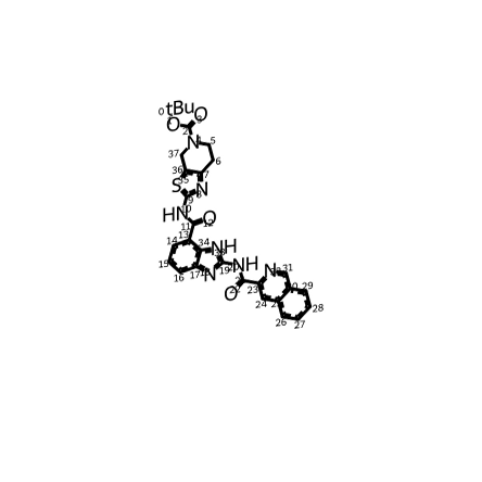 CC(C)(C)OC(=O)N1CCc2nc(NC(=O)c3cccc4nc(NC(=O)c5cc6ccccc6cn5)[nH]c34)sc2C1